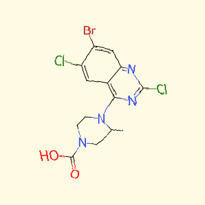 CC1CN(C(=O)O)CCN1c1nc(Cl)nc2cc(Br)c(Cl)cc12